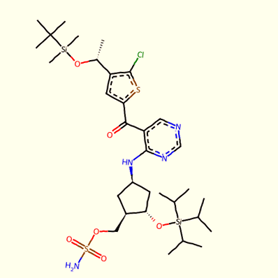 CC(C)[Si](O[C@H]1C[C@H](Nc2ncncc2C(=O)c2cc([C@@H](C)O[Si](C)(C)C(C)(C)C)c(Cl)s2)C[C@@H]1COS(N)(=O)=O)(C(C)C)C(C)C